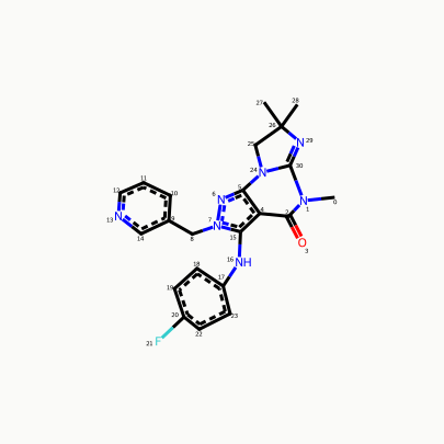 CN1C(=O)c2c(nn(Cc3cccnc3)c2Nc2ccc(F)cc2)N2CC(C)(C)N=C12